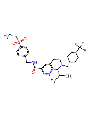 CCS(=O)(=O)c1ccc(CNC(=O)c2cnc3c(c2)CCN(C[C@H]2CC[C@H](C(F)(F)F)CC2)[C@@H]3C(C)C)cc1